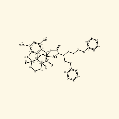 C=CC[N+]1(NCC(CCCCc2ccccc2)CCc2ccccc2)CC[C@]23c4c5c(O)cc(OC)c4O[C@H]2CCC[C@H]3[C@H]1C5